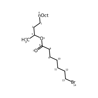 CCCCCCCCCCC(C)OC(=O)CCCCCCBr